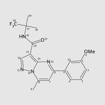 COc1cccc(-c2cc(C)n3ncc(C(=O)NC(C)(C)C(F)(F)F)c3n2)c1